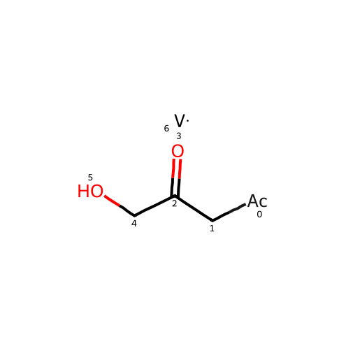 CC(=O)CC(=O)CO.[V]